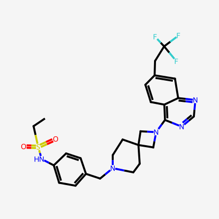 CCS(=O)(=O)Nc1ccc(CN2CCC3(CC2)CN(c2ncnc4cc(CC(F)(F)F)ccc24)C3)cc1